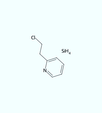 ClCCc1ccccn1.[SiH4]